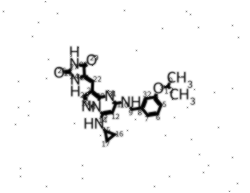 CC(C)Oc1cccc(CNc2cc(NC3CC3)n3ncc(/C=C4\NC(=O)NC4=O)c3n2)c1